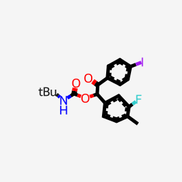 Cc1ccc(C(OC(=O)NC(C)(C)C)C(=O)c2ccc(I)cc2)cc1F